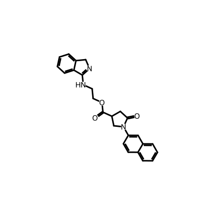 O=C(OCCNC1=NCc2ccccc21)C1CC(=O)N(c2ccc3ccccc3c2)C1